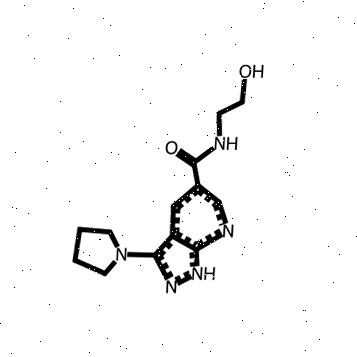 O=C(NCCO)c1cnc2[nH]nc(N3CCCC3)c2c1